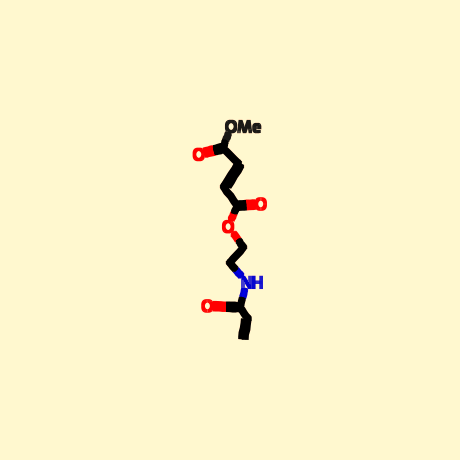 C=CC(=O)NCCOC(=O)/C=C/C(=O)OC